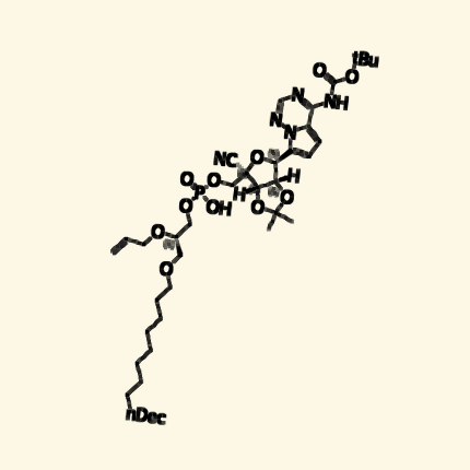 C=CCO[C@H](COCCCCCCCCCCCCCCCCCC)COP(=O)(O)OC[C@@]1(C#N)O[C@@H](c2ccc3c(NC(=O)OC(C)(C)C)ncnn23)[C@@H]2OC(C)(C)O[C@@H]21